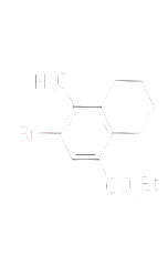 CCOC(=O)c1cc(Br)c(C)c2c1CCCC2